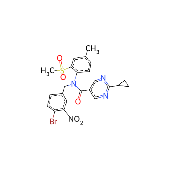 Cc1ccc(N(Cc2ccc(Br)c([N+](=O)[O-])c2)C(=O)c2cnc(C3CC3)nc2)c(S(C)(=O)=O)c1